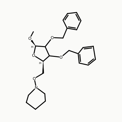 CO[C@@H]1O[C@H](CON2CCCCC2)C(OCc2ccccc2)C1OCc1ccccc1